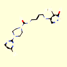 C[C@@H](/C=C/CNC(=O)N1CCN(c2nccc(C(F)(F)F)n2)CC1)Nc1cn[nH]c(=O)c1C(F)(F)F